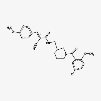 COc1ccc(/C=C(\C#N)C(=O)NCC2CCCN(C(=O)c3cc(Cl)ccc3OC)C2)cc1